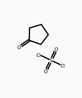 O=C1CCCC1.O=S(=O)(Cl)Cl